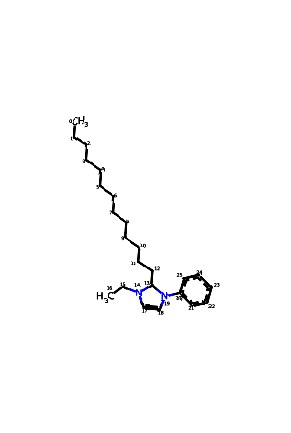 CCCCCCCCCCCCCC1N(CC)C=CN1c1ccccc1